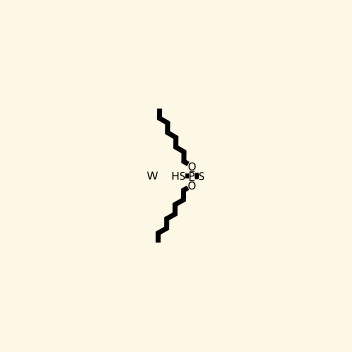 CCCCCCCCOP(=S)(S)OCCCCCCCC.[W]